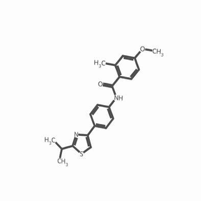 COc1ccc(C(=O)Nc2ccc(-c3csc(C(C)C)n3)cc2)c(C)c1